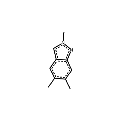 Cc1cc2cn(C)nc2cc1C